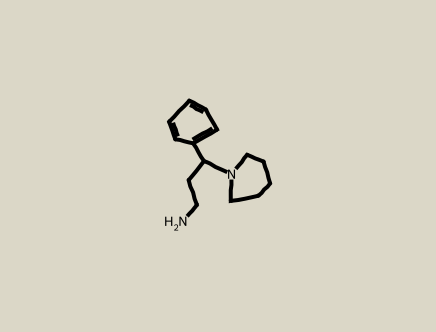 NCCC(c1ccccc1)N1CCCCC1